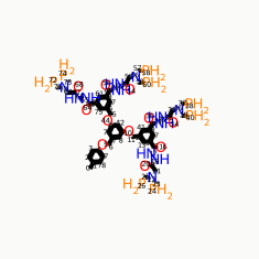 Cc1ccc(OCc2cc(OCc3cc(C(=O)NNC(=O)CN(CP)CP)cc(C(=O)NNC(=O)CN(CP)CP)c3)cc(OCc3cc(C(=O)NNC(=O)CN(CP)CP)cc(C(=O)NNC(=O)CN(CP)CP)c3)c2)cc1